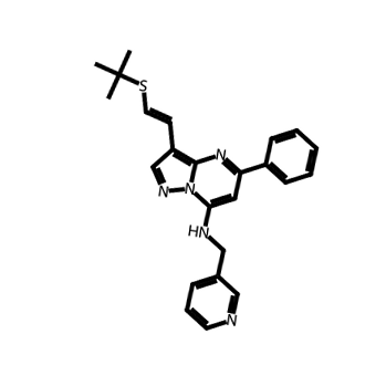 CC(C)(C)S/C=C/c1cnn2c(NCc3cccnc3)cc(-c3ccccc3)nc12